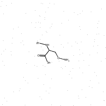 CC(C)NC(CON)C(=O)C(C)C